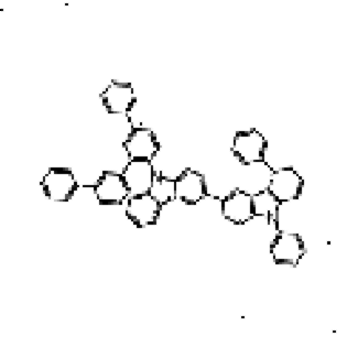 C1=Cc2c(c3cc(-c4ccc5c(c4)c4ccccc4n5-c4ccc(-c5ccccc5)cc4-c4cccc(-c5ccccc5)c4)ccc3n2-c2ccccc2)C(c2ccccc2)C1